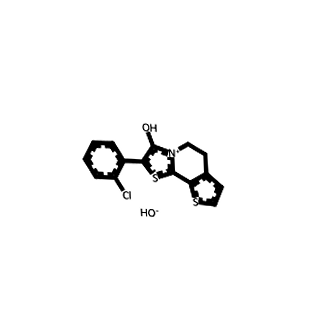 Oc1c(-c2ccccc2Cl)sc2[n+]1CCc1ccsc1-2.[OH-]